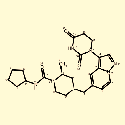 C[C@H]1CN(Cc2ccn3ncc(N4CCC(=O)NC4=O)c3c2)CCN1C(=O)NC1CCCC1